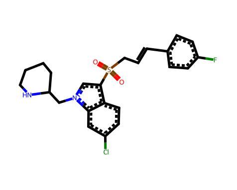 O=S(=O)(CC=Cc1ccc(F)cc1)c1cn(CC2CCCCN2)c2cc(Cl)ccc12